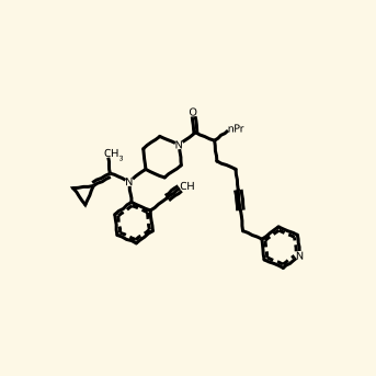 C#Cc1ccccc1N(C(C)=C1CC1)C1CCN(C(=O)C(CCC)CCC#CCc2ccncc2)CC1